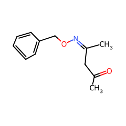 CC(=O)CC(C)=NOCc1ccccc1